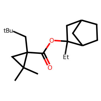 CCC1(OC(=O)C2(CC(C)(C)C)CC2(C)C)CC2CCC1C2